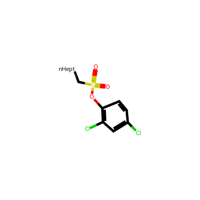 CCCCCCCCS(=O)(=O)Oc1ccc(Cl)cc1Cl